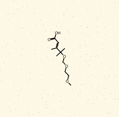 COCCOCOC(C)(C)C(C)=CC(=O)O